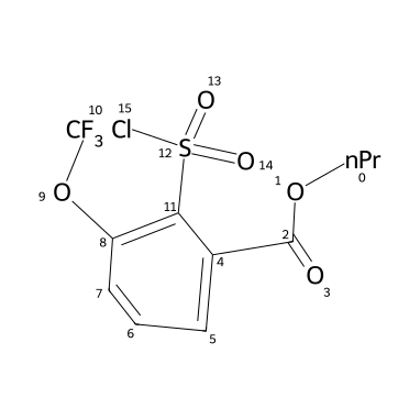 CCCOC(=O)c1cccc(OC(F)(F)F)c1S(=O)(=O)Cl